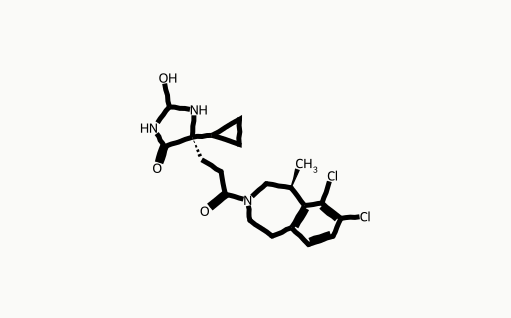 C[C@@H]1CN(C(=O)CC[C@@]2(C3CC3)NC(O)NC2=O)CCc2ccc(Cl)c(Cl)c21